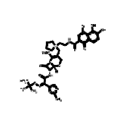 CCn1cc(C(=O)NCC[N+]2(CC3=C(C(=O)[O-])N4C(=O)[C@@H](NC(=O)/C(=N\OC(C)(C)C(=O)O)c5csc(N)n5)[C@H]4SC3)CCCC2)c(=O)c2ccc(O)c(O)c21